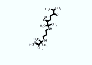 C/C(=N\O)C(C)(C)NCCCNC(C)(C)/C(CCC(=O)C(C)C)=N/O